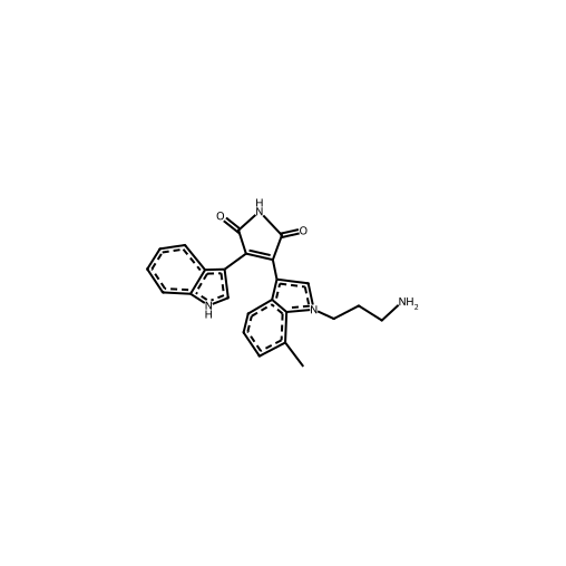 Cc1cccc2c(C3=C(c4c[nH]c5ccccc45)C(=O)NC3=O)cn(CCCN)c12